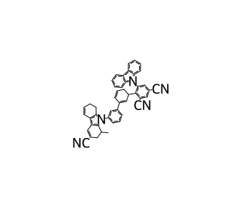 CC1CC(C#N)=Cc2c3c(n(-c4cccc(C5=CC(c6c(C#N)cc(C#N)cc6-n6c7ccccc7c7ccccc76)CC=C5)c4)c21)CCC=C3